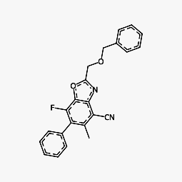 Cc1c(-c2ccccc2)c(F)c2oc(COCc3ccccc3)nc2c1C#N